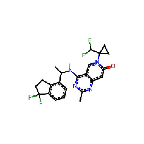 Cc1nc(NC(C)c2cccc3c2CCC3(F)F)c2cn(C3(C(F)F)CC3)c(=O)cc2n1